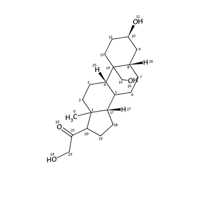 CC12CC[C@H]3C(CC[C@H]4C[C@H](O)CCC43CO)[C@@H]1CCC2C(=O)CO